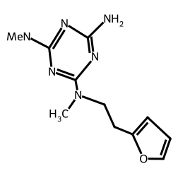 CNc1nc(N)nc(N(C)CCc2ccco2)n1